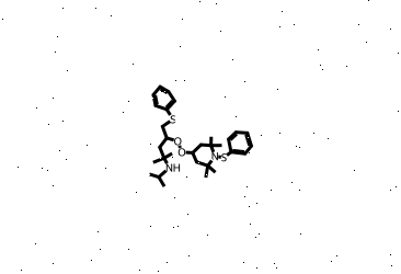 CC(C)NC(C)(C)CC(CSc1ccccc1)OOC1CC(C)(C)N(Sc2ccccc2)C(C)(C)C1